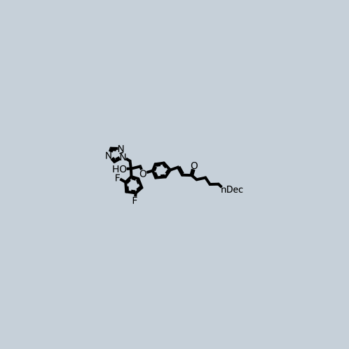 CCCCCCCCCCCCCCC(=O)/C=C/c1ccc(OCC(O)(Cn2cncn2)c2ccc(F)cc2F)cc1